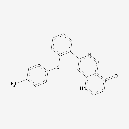 O=c1cc[nH]c2cc(-c3ccccc3Sc3ccc(C(F)(F)F)cc3)ncc12